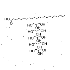 CCCCCCCCCCCCCCCCCCCCCC(=O)O.OCC(O)CO.OCC(O)CO.OCC(O)CO.OCC(O)CO.OCC(O)CO